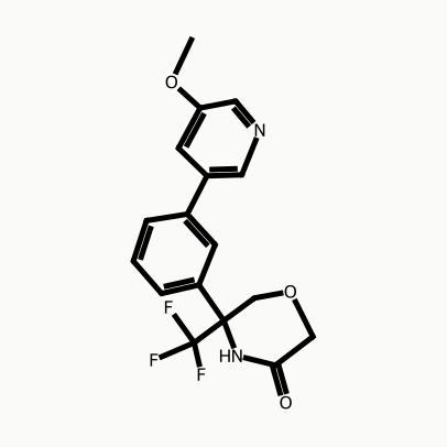 COc1cncc(-c2cccc(C3(C(F)(F)F)COCC(=O)N3)c2)c1